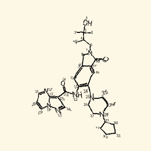 CC(C)(O)C(F)CN1Cc2cc(NC(=O)c3cnn4cccnc34)c(N3CCN(C4CCCC4)CC3)cc2C1=O